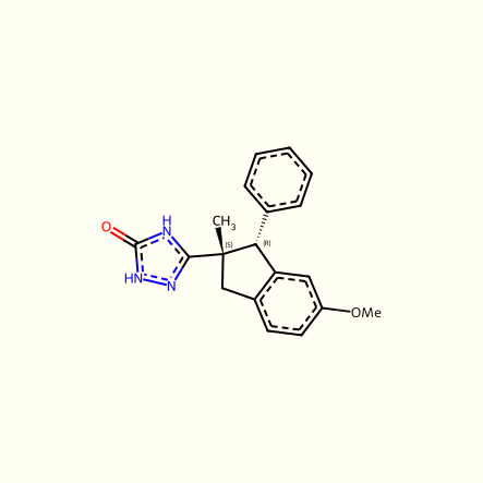 COc1ccc2c(c1)[C@@H](c1ccccc1)[C@@](C)(c1n[nH]c(=O)[nH]1)C2